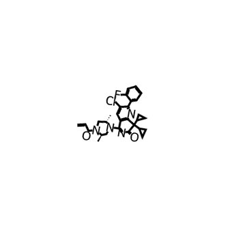 C=CC(=O)N1C[C@H](C)N(C2=NC(=O)C(C3CC3)(C3CC3)c3nc(-c4ccccc4F)c(Cl)cc32)C[C@H]1C